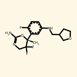 C[C@]1(c2cc(NCC3CCOC3)ccc2F)OC(N)=NCC1(F)F